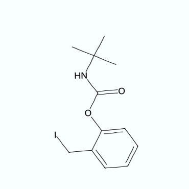 CC(C)(C)NC(=O)Oc1ccccc1CI